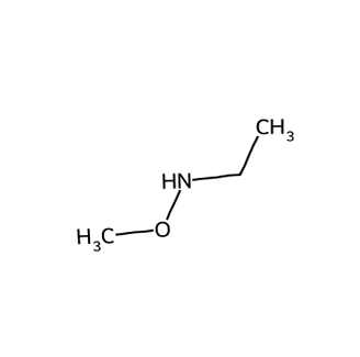 CCNOC